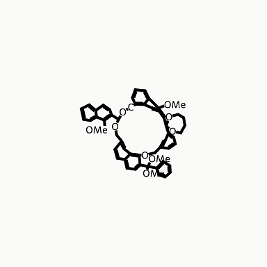 COc1c(C2OCc3ccc4ccc(C(OC)(OC)c5ccccc5)c(c4c3)OCc3cccc(c3)C3(OCCCCO3)c3ccc4c(cccc4c3OC)CO2)ccc2ccccc12